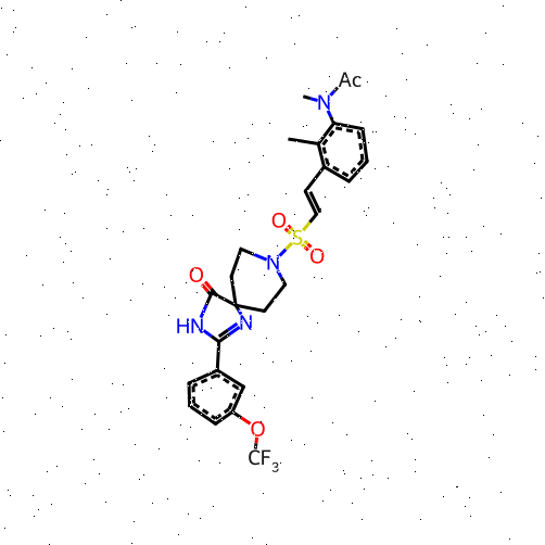 CC(=O)N(C)c1cccc(C=CS(=O)(=O)N2CCC3(CC2)N=C(c2cccc(OC(F)(F)F)c2)NC3=O)c1C